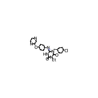 CCn1c(=O)[nH]/c(=N\c2ccc(Oc3cnccn3)cc2)n(Cc2ccc(Cl)cc2)c1=O